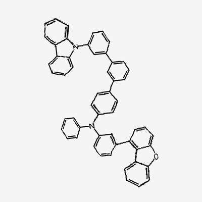 c1ccc(N(c2ccc(-c3cccc(-c4cccc(-n5c6ccccc6c6ccccc65)c4)c3)cc2)c2cccc(-c3cccc4oc5ccccc5c34)c2)cc1